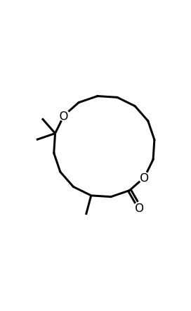 CC1CCCC(C)(C)OCCCCCCCOC(=O)C1